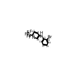 FS(F)(F)(F)(F)c1ccc(Nc2ccccc2Br)cn1